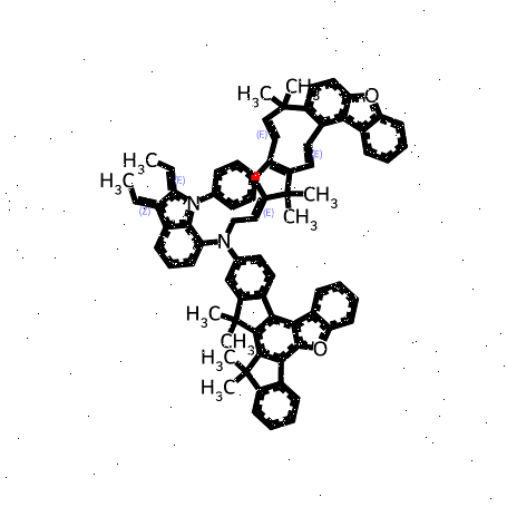 C/C=c1\c(=C/C)n(-c2ccccc2)c2c(N(C/C=C3\CC4=C(/C=C/c5c(ccc6oc7ccccc7c56)C(C)(C)/C=C/4)C3(C)C)c3ccc4c(c3)C(C)(C)c3c5c(c6oc7ccccc7c6c3-4)-c3ccccc3C5(C)C)cccc12